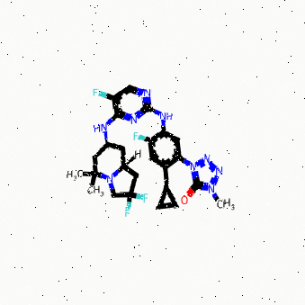 Cn1nnn(-c2cc(Nc3ncc(F)c(N[C@H]4C[C@@H]5CC(F)(F)CN5C(C)(C)C4)n3)c(F)cc2C2CC2)c1=O